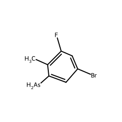 Cc1c(F)cc(Br)cc1[AsH2]